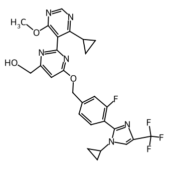 COc1ncnc(C2CC2)c1-c1nc(CO)cc(OCc2ccc(-c3nc(C(F)(F)F)cn3C3CC3)c(F)c2)n1